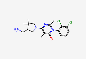 Cc1c(N2CC(CN)C(C)(C)C2)nc(C)n(-c2cccc(Cl)c2Cl)c1=O